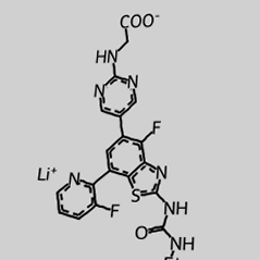 CCNC(=O)Nc1nc2c(F)c(-c3cnc(NCC(=O)[O-])nc3)cc(-c3ncccc3F)c2s1.[Li+]